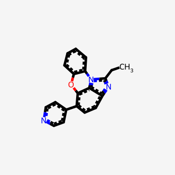 CCc1nc2ccc(-c3ccncc3)c3c2n1-c1ccccc1O3